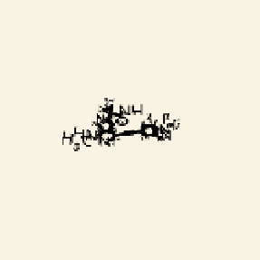 CNc1ncc(C#Cc2ccc3c(cnn3C(F)F)c2)c2cc(C3(C(N)=O)CC3)ncc12